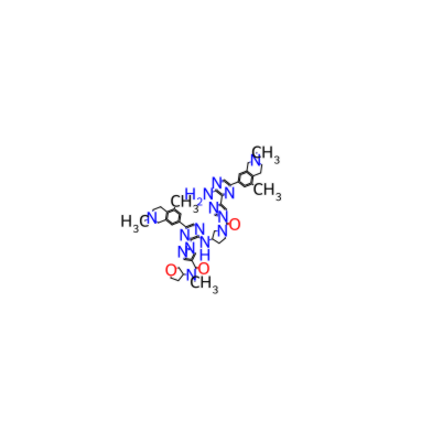 Cc1cc(-c2cnc(N)c(-c3cn(C(=O)N4CCC(Nc5ncc(-c6cc(C)c7c(c6)CN(C)CC7)nc5-n5cc(C(=O)N(C)C6CCOC6)cn5)C4)cn3)n2)cc2c1CCN(C)C2